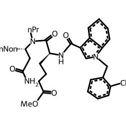 CCCCCCCCC[C@@H](CC(N)=O)N(CCC)C(=O)[C@H](CCCC(=O)OC)NC(=O)c1cn(Cc2ccccc2Cl)c2ccccc12